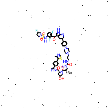 Cc1ncsc1-c1ccc([C@H](C)NC(=O)[C@@H]2C[C@@H](O)CN2C(=O)[C@@H](CNC(=O)NCCCN2CCN(c3ccc(-c4cnc5[nH]cc(C(=O)c6c(F)ccc(NS(=O)(=O)N7CC[C@@H](F)C7)c6F)c5c4)cc3)CC2)C(C)(C)C)cc1